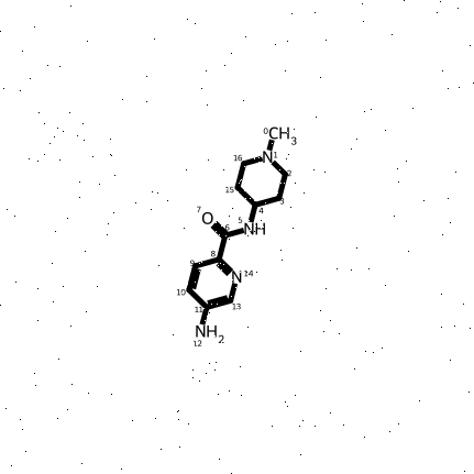 CN1CCC(NC(=O)c2ccc(N)cn2)CC1